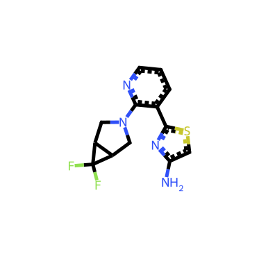 Nc1csc(-c2cccnc2N2CC3C(C2)C3(F)F)n1